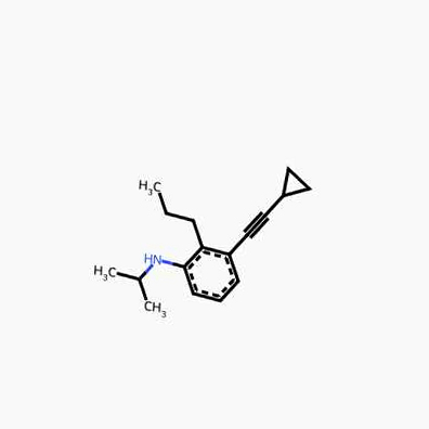 CCCc1c(C#CC2CC2)cccc1NC(C)C